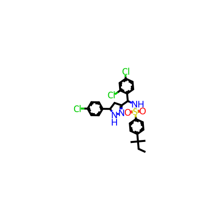 CCC(C)(C)c1ccc(S(=O)(=O)NC(C2=NNC(c3ccc(Cl)cc3)C2)c2ccc(Cl)cc2Cl)cc1